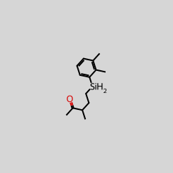 CC(=O)C(C)CC[SiH2]c1cccc(C)c1C